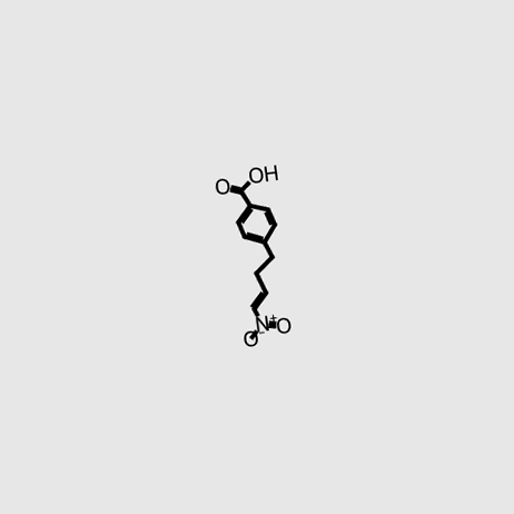 O=C(O)c1ccc(CCC=C[N+](=O)[O-])cc1